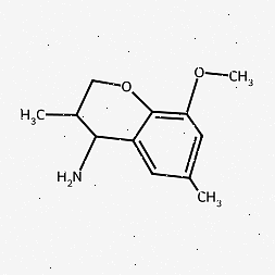 COc1cc(C)cc2c1OCC(C)C2N